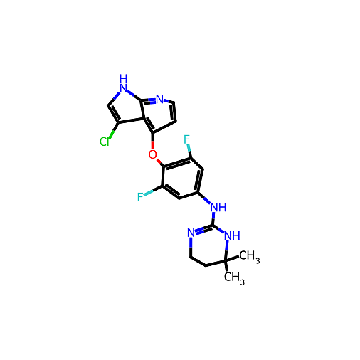 CC1(C)CCN=C(Nc2cc(F)c(Oc3ccnc4[nH]cc(Cl)c34)c(F)c2)N1